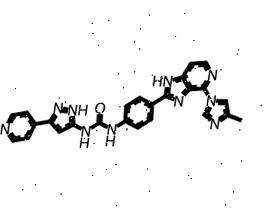 Cc1cn(-c2nccc3[nH]c(-c4ccc(NC(=O)Nc5cc(-c6ccncc6)n[nH]5)cc4)nc23)cn1